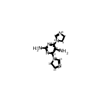 Nc1nc(N2C=NCC2)c(N)c(N2C=NCC2)n1